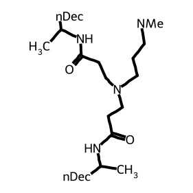 CCCCCCCCCCC(C)NC(=O)CCN(CCCNC)CCC(=O)NC(C)CCCCCCCCCC